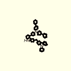 c1ccc(-c2ccc(N(c3ccc(-c4ccccc4)cc3)c3ccc(-c4cccc5[nH]c6ccc(Cc7ccc8c(c7)c7ccccc7n8-c7ccccc7)cc6c45)cc3)cc2)cc1